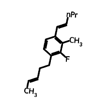 C/C=C/CCc1ccc(/C=C/CCC)c(C)c1F